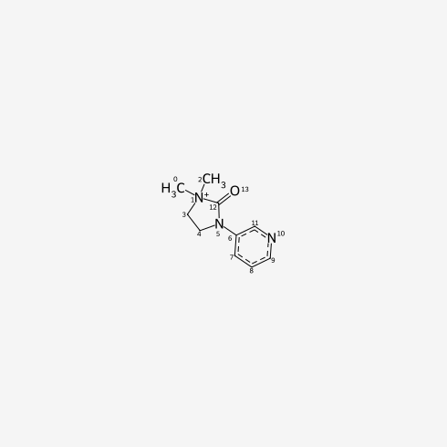 C[N+]1(C)CCN(c2cccnc2)C1=O